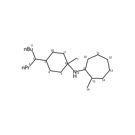 CCCCC(CCC)C1CCC(C)(NC2CCCCCC2C)CC1